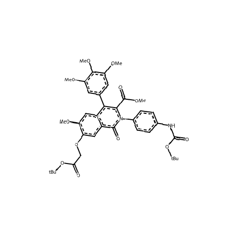 COC(=O)c1c(-c2cc(OC)c(OC)c(OC)c2)c2cc(OC)c(OCC(=O)OC(C)(C)C)cc2c(=O)n1-c1ccc(NC(=O)OC(C)(C)C)cc1